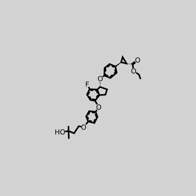 CCOC(=O)[C@H]1C[C@@H]1c1ccc(O[C@@H]2CCc3c(Oc4ccc(OCCC(C)(C)O)cc4)ccc(F)c32)cc1